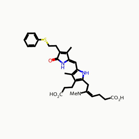 CN/C(=C/CCC(=O)O)Cc1[nH]c(/C=C2\NC(=O)C(CCSc3ccccc3)=C2C)c(C)c1CCC(=O)O